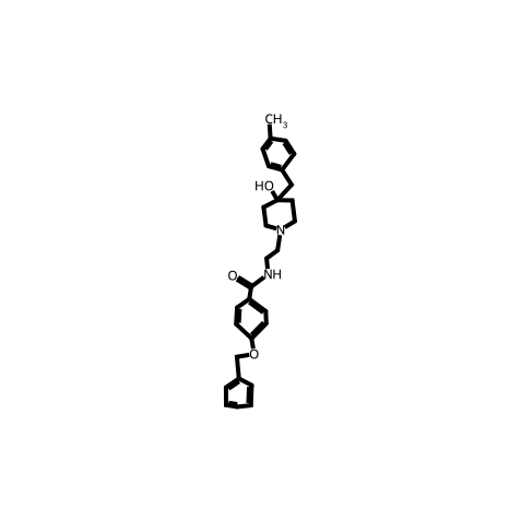 Cc1ccc(CC2(O)CCN(CCNC(=O)c3ccc(OCc4ccccc4)cc3)CC2)cc1